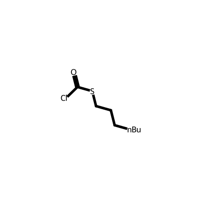 CCCCCCCSC(=O)Cl